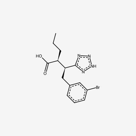 CCC[C@H](C(=O)O)[C@H](Cc1cccc(Br)c1)c1nn[nH]n1